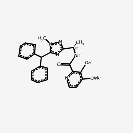 COc1ccnc(C(=O)N[C@@H](C)c2nc(C(c3ccccc3)c3ccccc3)n(C)n2)c1O